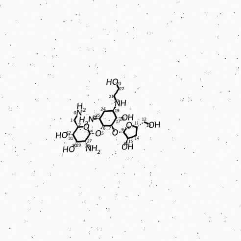 NC[C@H]1O[C@H](O[C@H]2[C@H](O[C@@H]3O[C@H](CO)C[C@H]3O)[C@@H](O)[C@H](NCCO)C[C@@H]2N)[C@H](N)[C@H](O)[C@@H]1O